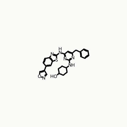 OC1CCC(Nc2nc(Cc3ccccc3)cc(Nc3nc4ccc(-c5cnoc5)cc4s3)n2)CC1